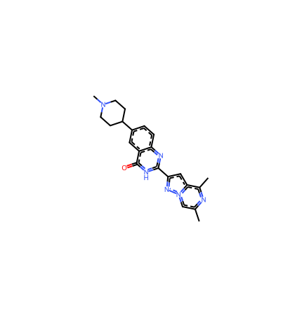 Cc1cn2nc(-c3nc4ccc(C5CCN(C)CC5)cc4c(=O)[nH]3)cc2c(C)n1